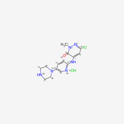 Cl.Cn1nc(Cl)cc(Nc2ccc(N3CCNCC3)cn2)c1=O